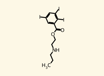 CCCNCCOC(=O)c1cc(I)cc(I)c1I